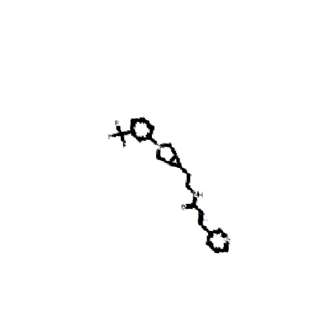 O=C(/C=C/c1cccnc1)NCCC1C2CN(c3cccc(C(F)(F)F)c3)CC12